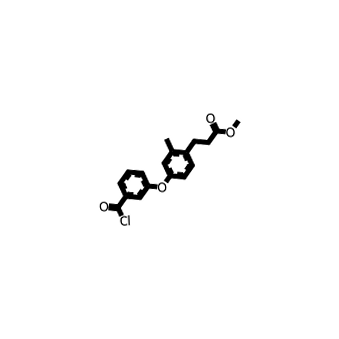 COC(=O)CCc1ccc(Oc2cccc(C(=O)Cl)c2)cc1C